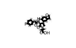 CC(C)(C(=O)O)N1C[C@@H](c2cc3c(cc2F)OCC3)[C@H](NC(=O)Nc2ccc(F)cc2)C1=O